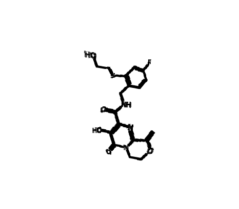 C=C1OCCn2c1nc(C(=O)NCc1ccc(F)cc1SCCO)c(O)c2=O